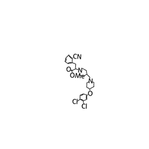 COC(=O)C(Cc1ccccc1C#N)N1CCC(CN2CCC(Oc3ccc(Cl)c(Cl)c3)CC2)CC1